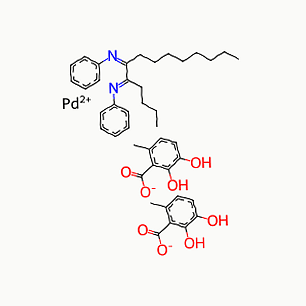 CCCCCCCCC(=Nc1ccccc1)C(CCCC)=Nc1ccccc1.Cc1ccc(O)c(O)c1C(=O)[O-].Cc1ccc(O)c(O)c1C(=O)[O-].[Pd+2]